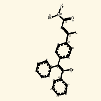 CCC(=C(c1ccccc1)c1ccc(C(C)=CC(=O)N(CC)CC)cc1)c1ccccc1